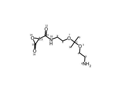 CC(C)(OCCN)OCCNC(=O)I1OC1=O